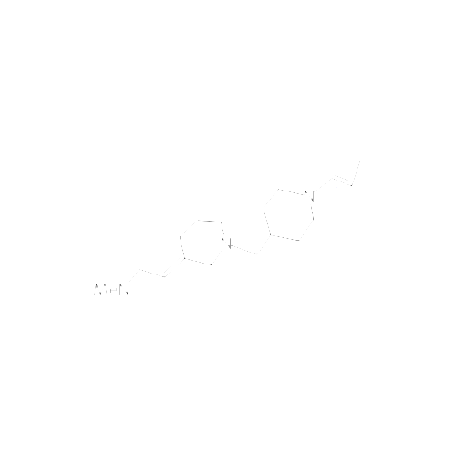 C/C=C/N1CCC(CN2CCC/C(=C\CNC)C2)CC1